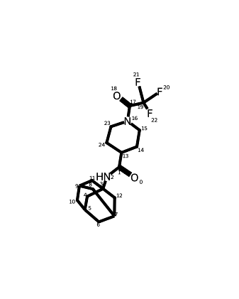 O=C(NC12CC3CC(CC(C3)C1)C2)C1CCN(C(=O)C(F)(F)F)CC1